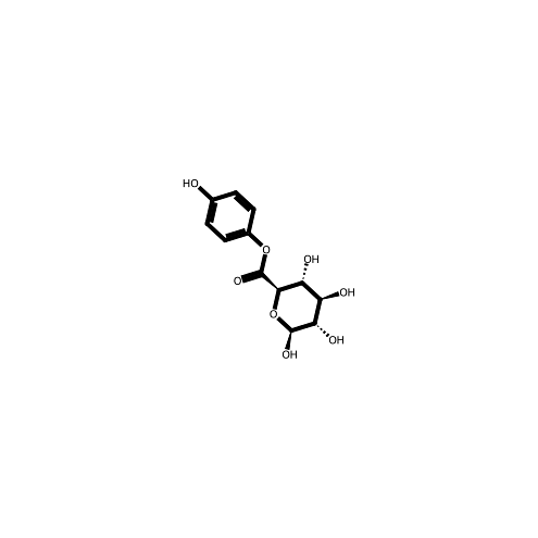 O=C(Oc1ccc(O)cc1)[C@@H]1O[C@H](O)[C@@H](O)[C@H](O)[C@H]1O